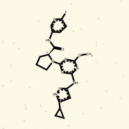 COc1nc(Nc2cc(C3CC3)[nH]n2)nc(N2CCC[C@H]2C(=O)Nc2ccc(F)nc2)n1